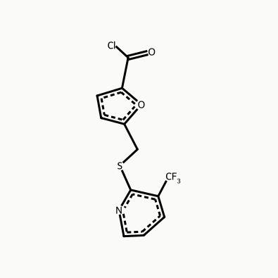 O=C(Cl)c1ccc(CSc2ncccc2C(F)(F)F)o1